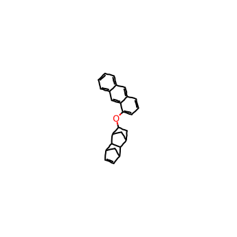 C1=CC2CC1C1C3CC(Oc4cccc5cc6ccccc6cc45)C(C3)C21